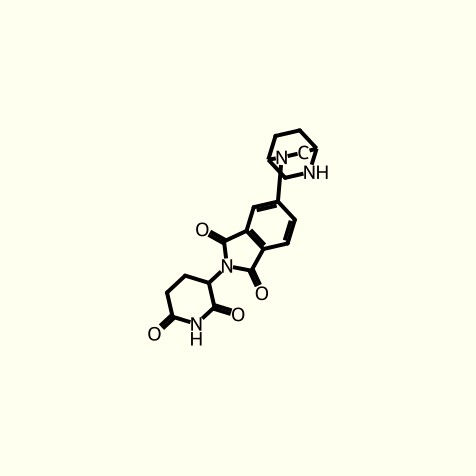 O=C1CCC(N2C(=O)c3ccc(N4CC5CCC4CN5)cc3C2=O)C(=O)N1